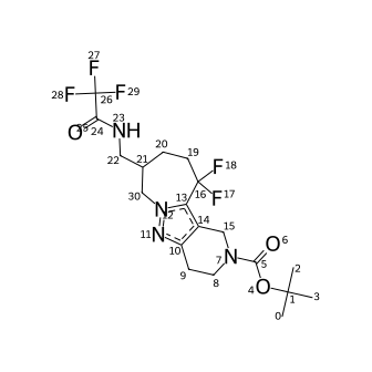 CC(C)(C)OC(=O)N1CCc2nn3c(c2C1)C(F)(F)CCC(CNC(=O)C(F)(F)F)C3